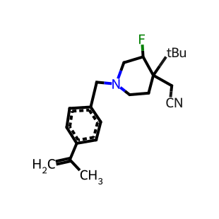 C=C(C)c1ccc(CN2CCC(CC#N)(C(C)(C)C)C(F)C2)cc1